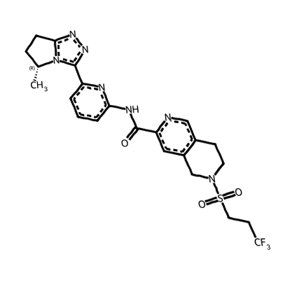 C[C@@H]1CCc2nnc(-c3cccc(NC(=O)c4cc5c(cn4)CCN(S(=O)(=O)CCC(F)(F)F)C5)n3)n21